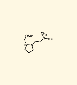 COC[C@H]1CCCN1CCN(C)C(C)(C)C